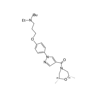 CCC(C)N(CC)CCCOc1ccc(-n2cc(C(=O)N3C[C@@H](C)O[C@@H](C)C3)cn2)cc1